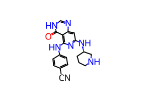 N#Cc1ccc(Nc2nc(N[C@@H]3CCCNC3)cc3nc[nH]c(=O)c23)cc1